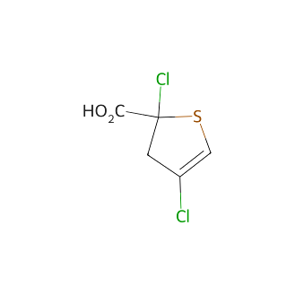 O=C(O)C1(Cl)CC(Cl)=CS1